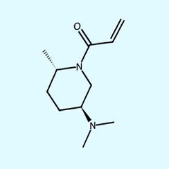 C=CC(=O)N1C[C@@H](N(C)C)CC[C@@H]1C